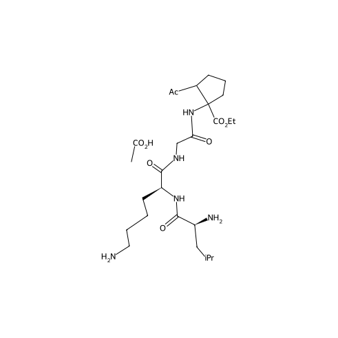 CC(=O)O.CCOC(=O)C1(NC(=O)CNC(=O)[C@H](CCCCN)NC(=O)[C@@H](N)CC(C)C)CCCC1C(C)=O